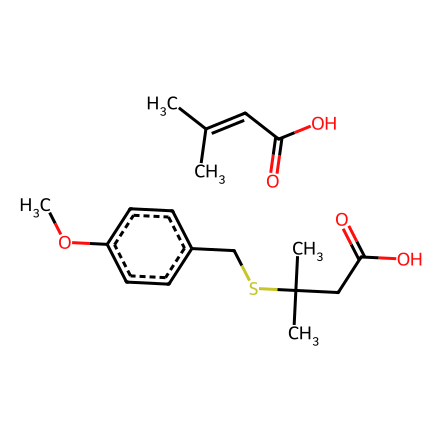 CC(C)=CC(=O)O.COc1ccc(CSC(C)(C)CC(=O)O)cc1